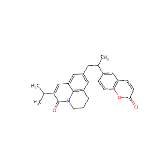 CC(C)c1cc2cc(CC(C)c3ccc4oc(=O)ccc4c3)cc3c2n(c1=O)CCC3